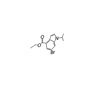 CCOC(=O)c1cc(Br)cc2c1ccn2C(C)C